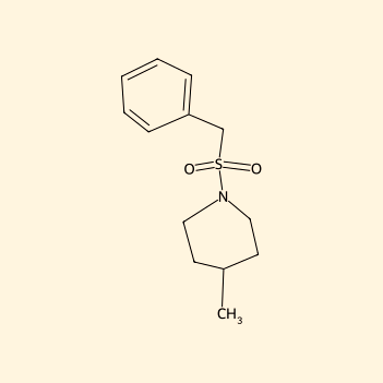 CC1CCN(S(=O)(=O)Cc2ccccc2)CC1